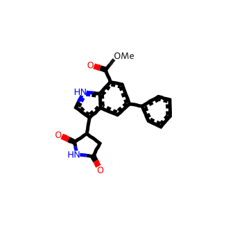 COC(=O)c1cc(-c2ccccc2)cc2c(C3CC(=O)NC3=O)c[nH]c12